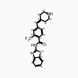 O=C(Nc1nc2ccccc2s1)c1ccc(C=C2CCNCC2)cc1C(F)(F)F